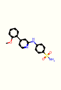 COc1ccccc1-c1ccnc(Nc2ccc(S(N)(=O)=O)cc2)c1